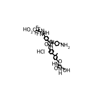 Cc1cc(C(=O)N[C@@H]2C[C@@H](CO)NC2=O)ccc1-c1ccc(C[C@H](NC(=O)[C@H]2CC[C@H](CN)CC2)C(=O)Nc2ccc(-c3nc(C(F)(F)C(F)(F)C(=O)O)n[nH]3)cc2)cc1.Cl